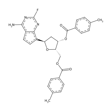 Cc1ccc(C(=O)OC[C@@H]2O[C@@H](n3ccc4c(N)nc(F)nc43)C[C@@H]2OC(=O)c2ccc(C)cc2)cc1